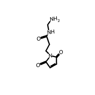 NCNC(=O)CCN1C(=O)C=CC1=O